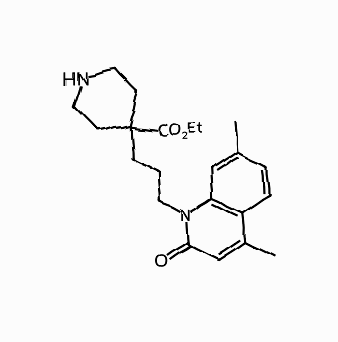 CCOC(=O)C1(CCCn2c(=O)cc(C)c3ccc(C)cc32)CCNCC1